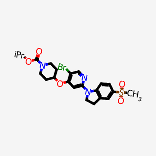 CC(C)OC(=O)N1CCC(Oc2cc(N3CCc4cc(S(C)(=O)=O)ccc43)ncc2Br)CC1